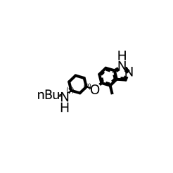 CCCCN[C@H]1CCC[C@@H](Oc2ccc3[nH]ncc3c2C)C1